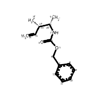 [CH2][C@H](NC(=O)OCc1ccccc1)[C@@H](C)C=C